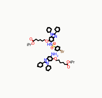 CC(C)OC(=O)CCCCCOc1cc2c(cc1N)nc(-c1ccccc1)n2-c1ccccc1.CC(C)OC(=O)CCCCCOc1cc2c(cc1NS(=O)(=O)c1ccc(Br)cc1)nc(-c1ccccc1)n2-c1ccccc1